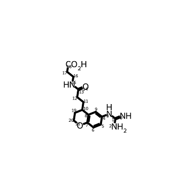 N=C(N)Nc1ccc2c(c1)C(CCC(=O)NCCC(=O)O)CCO2